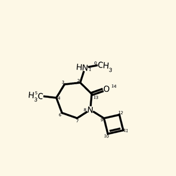 CNC1CC(C)CCN(C2C=CC2)C1=O